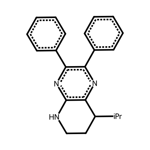 CC(C)C1CCNc2nc(-c3ccccc3)c(-c3ccccc3)nc21